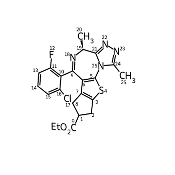 CCOC(=O)C1Cc2sc3c(c2C1)C(c1c(F)cccc1Cl)=N[C@@H](C)c1nnc(C)n1-3